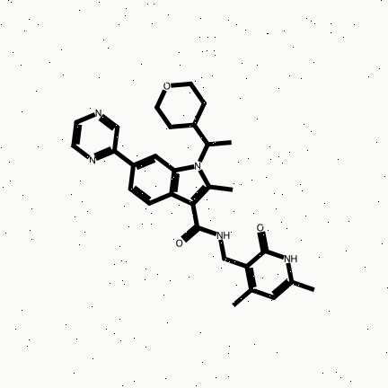 Cc1cc(C)c(CNC(=O)c2c(C)n(C(C)C3CCOCC3)c3cc(-c4cnccn4)ccc23)c(=O)[nH]1